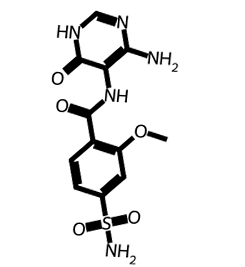 COc1cc(S(N)(=O)=O)ccc1C(=O)Nc1c(N)nc[nH]c1=O